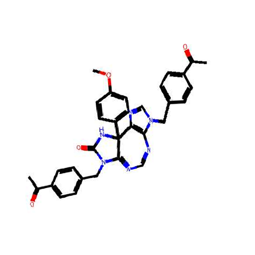 COc1ccc(C23NC(=O)N(Cc4ccc(C(C)=O)cc4)C2=NC=Nc2c3ncn2Cc2ccc(C(C)=O)cc2)cc1